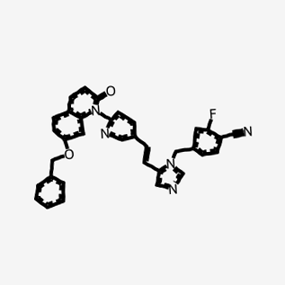 N#Cc1ccc(Cn2cncc2C=Cc2ccc(-n3c(=O)ccc4ccc(OCc5ccccc5)cc43)nc2)cc1F